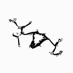 CC(C)OC(=O)c1ccc([C@@H]([C@H](C)C(C)C)N(C)C)cc1